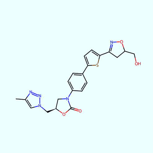 Cc1cn(C[C@H]2CN(c3ccc(-c4ccc(C5=NOC(CO)C5)s4)cc3)C(=O)O2)nn1